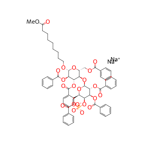 COC(=O)CCCCCCCCO[C@@H]1O[C@H](COC(=O)c2ccccc2)[C@@H](O[C@@H]2O[C@H](COC(=O)c3ccccc3)[C@H](OP(=O)([O-])[O-])[C@H](OC(=O)c3ccccc3)[C@H]2OC(=O)c2ccccc2)[C@H](OC(=O)c2ccccc2)[C@H]1OC(=O)c1ccccc1.[Na+].[Na+]